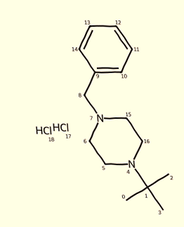 CC(C)(C)N1CCN(Cc2ccccc2)CC1.Cl.Cl